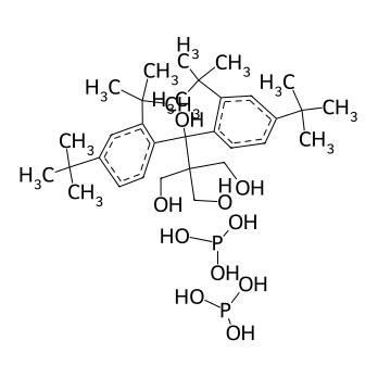 CC(C)(C)c1ccc(C(O)(c2ccc(C(C)(C)C)cc2C(C)(C)C)C(CO)(CO)CO)c(C(C)(C)C)c1.OP(O)O.OP(O)O